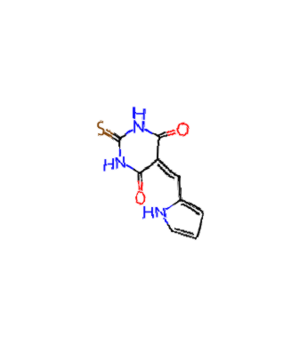 O=C1NC(=S)NC(=O)C1=Cc1ccc[nH]1